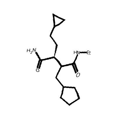 CCNC(=O)C(CC1CCCC1)[C@H](CCC1CC1)C(N)=O